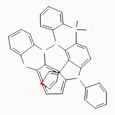 C[Si]1(C)c2ccccc2N(B2c3ccccc3Oc3ccccc32)c2c1ccc1c2c2ccccc2n1-c1ccccc1